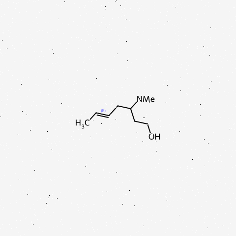 C/C=C/CC(CCO)NC